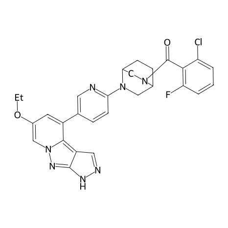 CCOc1cc(-c2ccc(N3CC4CCC3CN4C(=O)c3c(F)cccc3Cl)nc2)c2c3cn[nH]c3nn2c1